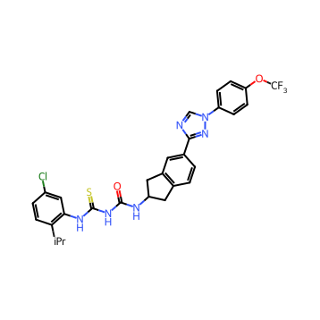 CC(C)c1ccc(Cl)cc1NC(=S)NC(=O)NC1Cc2ccc(-c3ncn(-c4ccc(OC(F)(F)F)cc4)n3)cc2C1